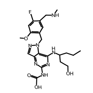 CCCC(CCO)Nc1nc(NC(=O)O)nc2cnn(Cc3cc(CNC)c(F)cc3OC)c12